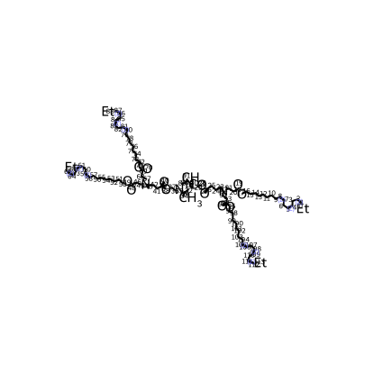 CC/C=C\C/C=C\C/C=C\CCCCCCCCOC(=O)CCN(CCCC(=O)OCCN1CC(C)N(CCOC(=O)CCCN(CCC(=O)OCCCCCCCC/C=C\C/C=C\C/C=C\CC)CCC(=O)OCCCCCCCC/C=C\C/C=C\C/C=C\CC)CC1C)CCC(=O)OCCCCCCCC/C=C\C/C=C\C/C=C\CC